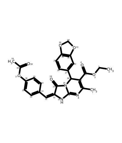 CCOC(=O)C1=C(C)N=c2[nH]c(=Cc3ccc(OC(C)=O)cc3)c(=O)n2C1c1ccc2c(c1)OCO2